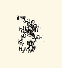 CC(C)CCCOC(=O)C(C)(C)NP(=O)(CO[C@H](C)Cn1cnc2c(N)ncnc21)NC(C)(C)C(=O)OCCCC(C)C